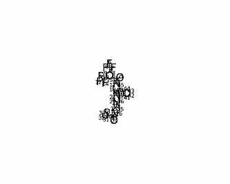 O=C(c1cc(C(F)(F)F)cc(C(F)(F)F)c1)N1CC[C@@H](N2CCN(C3CCN(C(=O)c4cccs4)C3)CC2)[C@@H](c2ccccc2)C1